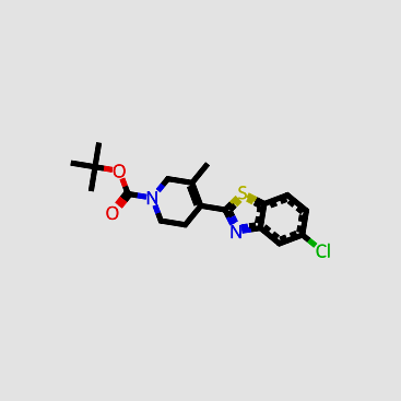 CC1=C(c2nc3cc(Cl)ccc3s2)CCN(C(=O)OC(C)(C)C)C1